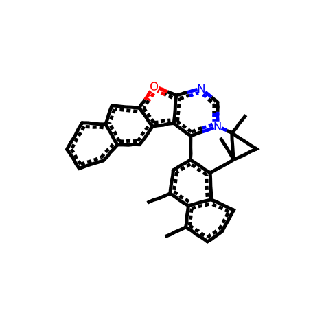 Cc1cccc2c3c(cc(C)c12)-c1c2c(nc[n+]1C1(C)CC31C)oc1cc3ccccc3cc12